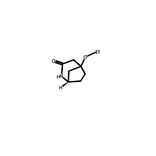 CCOC12CC[C@@H](C1)NC(=O)C2